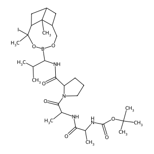 CC(NC(=O)OC(C)(C)C)C(=O)NC(C)C(=O)N1CCCC1C(=O)NC(B1OCC2CC3CC(C(C)(I)O1)C23C)C(C)C